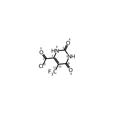 O=C(Cl)c1[nH]c(=O)[nH]c(=O)c1C(F)(F)F